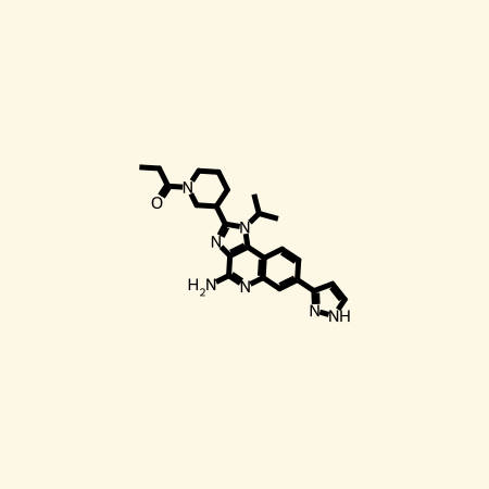 CCC(=O)N1CCCC(c2nc3c(N)nc4cc(-c5cc[nH]n5)ccc4c3n2C(C)C)C1